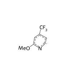 COc1cc(C(F)(F)F)c[c]n1